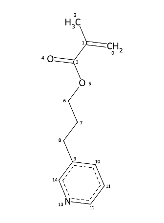 C=C(C)C(=O)OCCCc1cccnc1